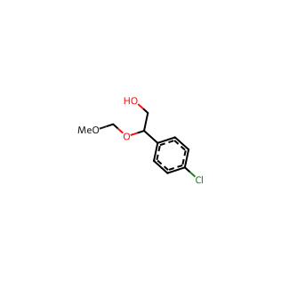 COCOC(CO)c1ccc(Cl)cc1